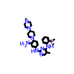 Cc1cnc(Nc2ccc(N3CCC(N4CCN(C)CC4)CC3)c(N)c2)nc1Nc1ccccc1P(C)C